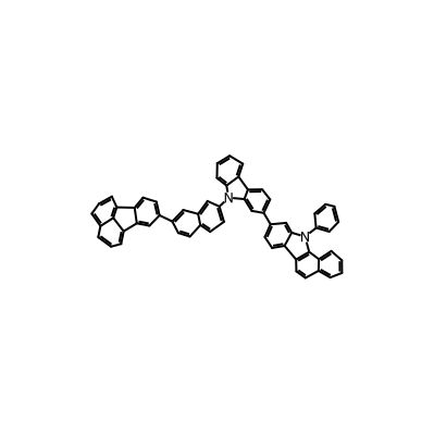 c1ccc(-n2c3cc(-c4ccc5c6ccccc6n(-c6ccc7ccc(-c8ccc9c(c8)-c8cccc%10cccc-9c8%10)cc7c6)c5c4)ccc3c3ccc4ccccc4c32)cc1